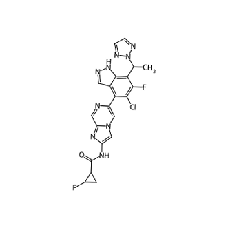 CC(c1c(F)c(Cl)c(-c2cn3cc(NC(=O)C4CC4F)nc3cn2)c2cn[nH]c12)n1nccn1